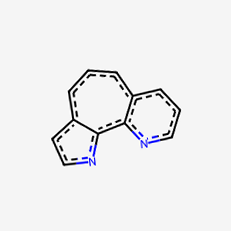 c1cnc2c3nccc-3cccc2c1